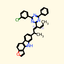 C/C=C\C(=C/C(C)c1ccc2c(c1)[nH]c1c3ccoc3ccc21)c1nc(-c2ccccc2)nc(-c2cccc(Cl)c2)n1